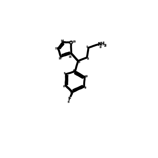 NCCC(c1ccc(F)cc1)c1ccco1